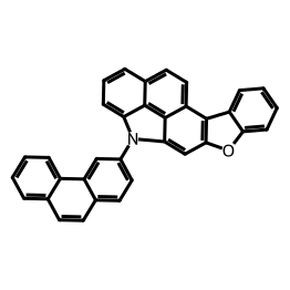 c1ccc2c(c1)ccc1ccc(-n3c4cccc5ccc6c7c(cc3c6c54)oc3ccccc37)cc12